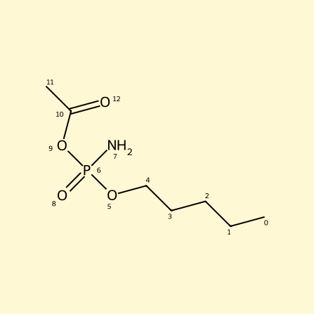 CCCCCOP(N)(=O)OC(C)=O